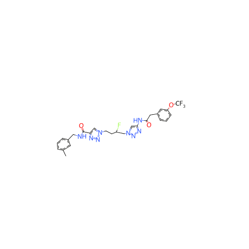 Cc1cccc(CNC(=O)c2cn(CCC(F)Cn3cc(NC(=O)Cc4cccc(OC(F)(F)F)c4)nn3)nn2)c1